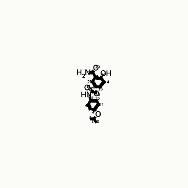 CC(C)Oc1ccc(NS(=O)(=O)c2ccc(O)c(C(N)=O)c2)cc1